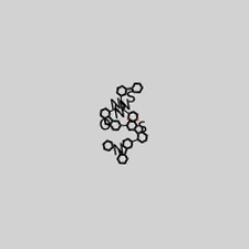 c1ccc(-c2nc(-c3cccc4c3sc3ccccc34)nc(-c3cccc4oc5ccc(-c6ccc7sc8cccc(-c9ccc%10c(c9)c9ccccc9n%10-c9ccccc9)c8c7c6)cc5c34)n2)cc1